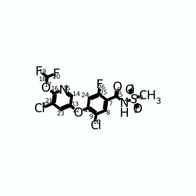 CS(=O)(=O)NC(=O)c1cc(Cl)c(Oc2cnc(OC(F)F)c(Cl)c2)cc1F